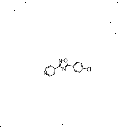 Clc1ccc(-c2nc(-c3ccncc3)no2)cc1